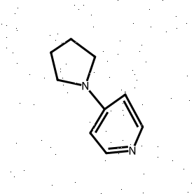 [c]1cnccc1N1CCCC1